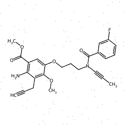 C#CCc1c(N)c(C(=O)OC)cc(OCCCN(C#CC)C(=O)c2cccc(F)c2)c1OC